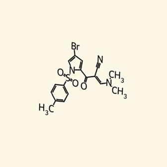 Cc1ccc(S(=O)(=O)n2cc(Br)cc2C(=O)/C(C#N)=C/N(C)C)cc1